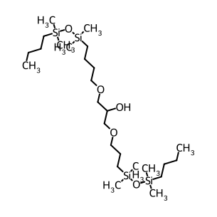 CCCC[Si](C)(C)O[Si](C)(C)CCCCOCC(O)COCCC[Si](C)(C)O[Si](C)(C)CCCC